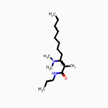 CCCCCCCC/C(=C(\C)C(=O)NCCC)N(C)C